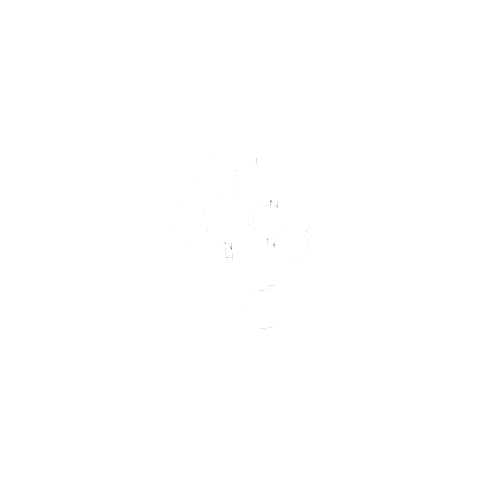 Fc1ccccc1-c1nc2scc(-c3ccccc3)n2c1NC1CCCC1